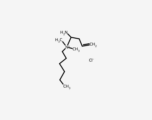 C=CCC(N)[N+](C)(C)CCCCCC.[Cl-]